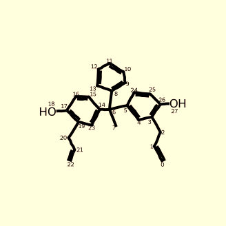 C=CCc1cc(C(C)(c2ccccc2)c2ccc(O)c(CC=C)c2)ccc1O